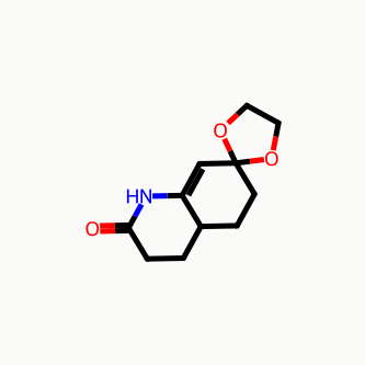 O=C1CCC2CCC3(C=C2N1)OCCO3